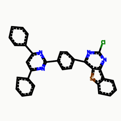 Clc1nc(-c2ccc(-c3nc(-c4ccccc4)cc(-c4ccccc4)n3)cc2)c2sc3ccccc3c2n1